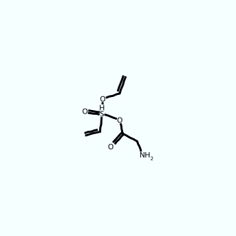 C=CO[SH](=O)(C=C)OC(=O)CN